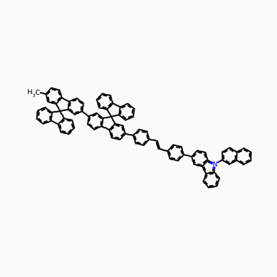 Cc1ccc2c(c1)C1(c3ccccc3-c3ccccc31)c1cc(-c3ccc4c(c3)C3(c5ccccc5-c5ccccc53)c3cc(-c5ccc(/C=C/c6ccc(-c7ccc8c(c7)c7ccccc7n8-c7ccc8ccccc8c7)cc6)cc5)ccc3-4)ccc1-2